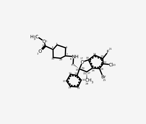 COC(=O)C1CCC(NC[C@]2(c3ccccc3)Oc3cc(F)c(Cl)c(Br)c3[C@@H]2C)CC1